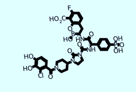 O=C(O)c1c(F)ccc2c1OB(O)[C@@H](NC(=O)[C@H](NC(=O)N1CCN(C3CCN(C(=O)c4ccc(O)c(O)c4Cl)CC3)C1=O)c1ccc(P(=O)(O)O)cc1)C2